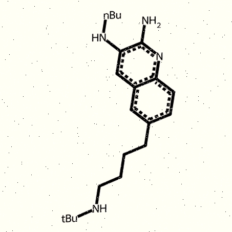 CCCCNc1cc2cc(CCCCNC(C)(C)C)ccc2nc1N